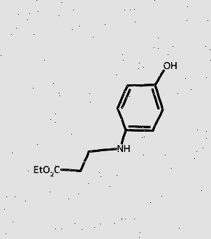 CCOC(=O)CCNc1ccc(O)cc1